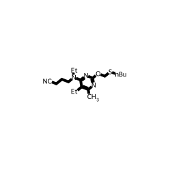 CCCCSCOc1nc(C)c(CC)c(N(CC)CCCC#N)n1